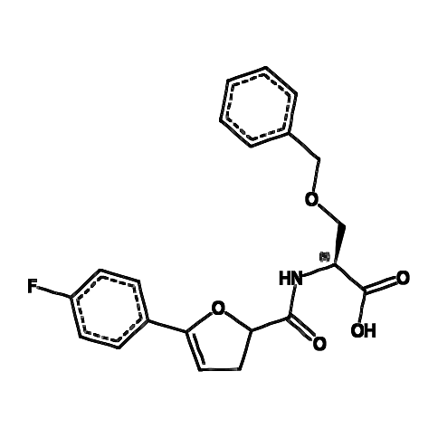 O=C(N[C@@H](COCc1ccccc1)C(=O)O)C1CC=C(c2ccc(F)cc2)O1